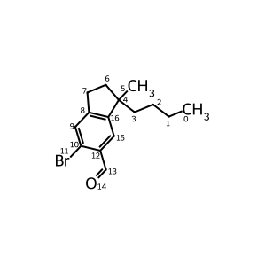 CCCCC1(C)CCc2cc(Br)c(C=O)cc21